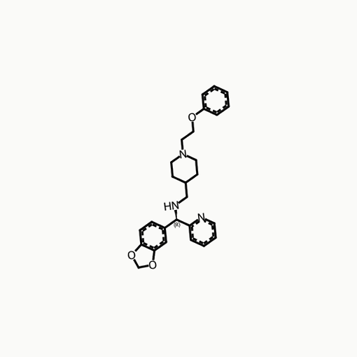 c1ccc(OCCN2CCC(CN[C@H](c3ccc4c(c3)OCO4)c3ccccn3)CC2)cc1